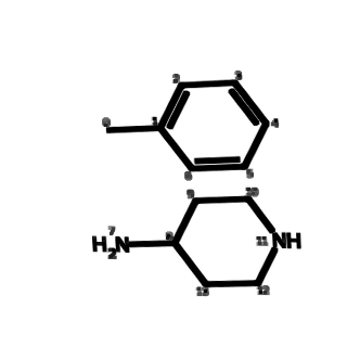 Cc1ccccc1.NC1CCNCC1